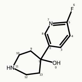 OC1(c2ccc(F)nc2)CCNCC1